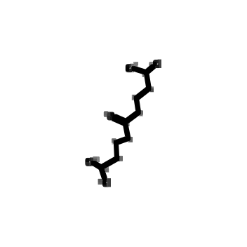 O=C(CCCC(Cl)Cl)CCCC(Cl)Cl